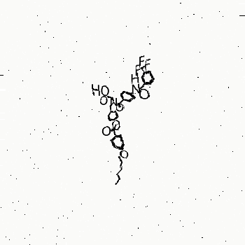 CCCCCCCOc1ccc(C(=O)Oc2ccc(CN(CC(=O)O)C(=O)c3ccc(NC(=O)c4cccc(C(F)(F)F)c4)cc3)cc2)cc1